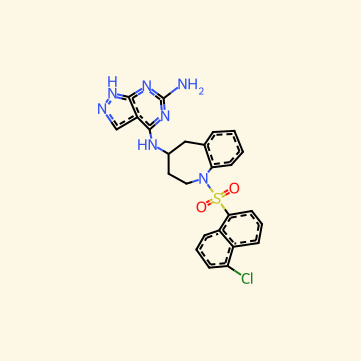 Nc1nc(NC2CCN(S(=O)(=O)c3cccc4c(Cl)cccc34)c3ccccc3C2)c2cn[nH]c2n1